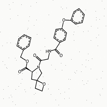 O=C(NCC(=O)N1CC2(CCO2)C[C@H]1C(=O)OCc1ccccc1)c1ccc(Oc2ccccc2)cc1